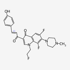 CN1CCN(c2c(F)cc3c(=O)c(C(=O)/C=C/c4ccc(O)cc4)cn(CCF)c3c2F)CC1